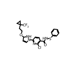 O=C(NSc1ccccc1)c1ccc(N2C=CC(OCCC3(C(F)(F)F)CC3)N2)nc1Cl